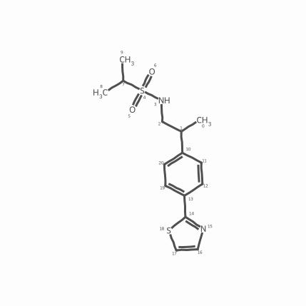 CC(CNS(=O)(=O)C(C)C)c1ccc(-c2nccs2)cc1